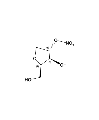 O=[N+]([O-])O[C@H]1CO[C@H](CO)[C@@H]1O